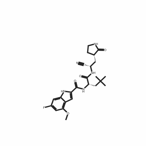 COc1cc(F)cc2[nH]c(C(=O)N[C@@H](CC(C)(C)C)C(=O)N[C@H](C#N)C[C@@H]3CCNC3=O)cc12